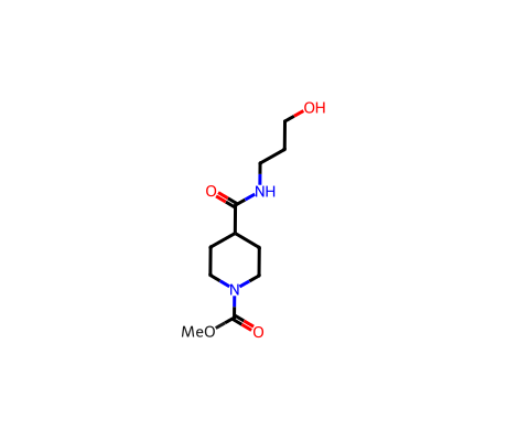 COC(=O)N1CCC(C(=O)NCCCO)CC1